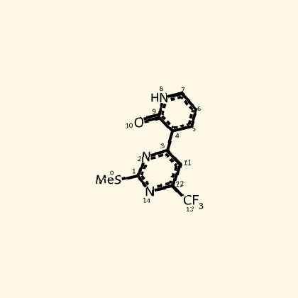 CSc1nc(-c2ccc[nH]c2=O)cc(C(F)(F)F)n1